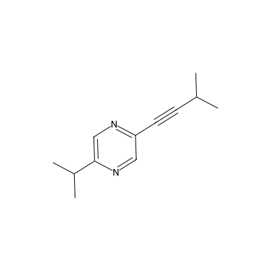 CC(C)C#Cc1cnc(C(C)C)cn1